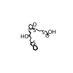 O=C(O)CSCCCS[C@H]1C(=O)CC[C@H]1C=C[C@@H](O)CCc1cc2ccccc2s1